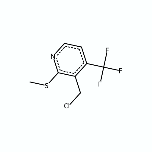 CSc1nccc(C(F)(F)F)c1CCl